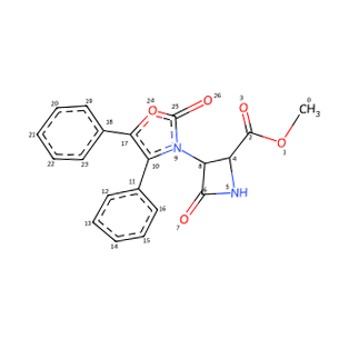 COC(=O)C1NC(=O)C1n1c(-c2ccccc2)c(-c2ccccc2)oc1=O